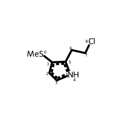 CSc1cc[nH]c1CCCl